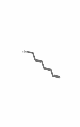 [CH]=CC=CC=CCCCC[CH2]